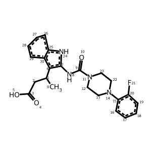 CC(CC(=O)O)c1c(NC(=O)N2CCN(c3ccccc3F)CC2)[nH]c2ccccc12